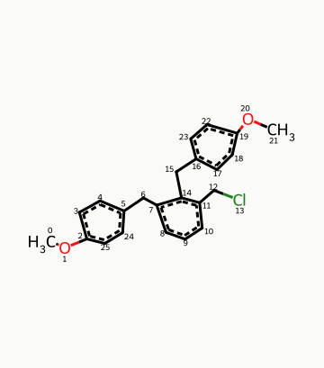 COc1ccc(Cc2cccc(CCl)c2Cc2ccc(OC)cc2)cc1